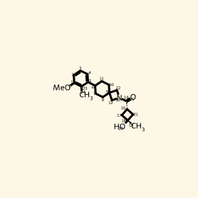 COc1cccc(C2CCC3(CC2)CN(C(=O)[C@H]2C[C@@](C)(O)C2)C3)c1C